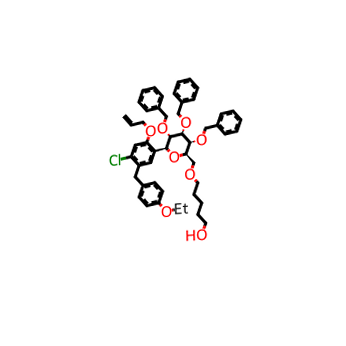 C=CCOc1cc(Cl)c(Cc2ccc(OCC)cc2)cc1[C@@H]1O[C@H](COCCCCCO)[C@@H](OCc2ccccc2)[C@@H](OCc2ccccc2)[C@H]1OCc1ccccc1